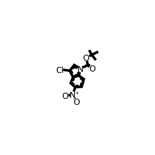 CC(C)(C)OC(=O)n1cc(Cl)c2cc([N+](=O)[O-])ccc21